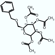 CC(=O)OC1O[C@@H](COCc2ccccc2)[C@H](OC(C)=O)[C@@H](OC(C)=O)[C@H]1OC(C)=O